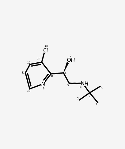 CC(C)(C)NC[C@H](O)c1ncccc1Cl